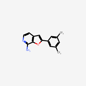 Nc1nccc2cc(-c3cc(C(F)(F)F)cc(C(F)(F)F)c3)oc12